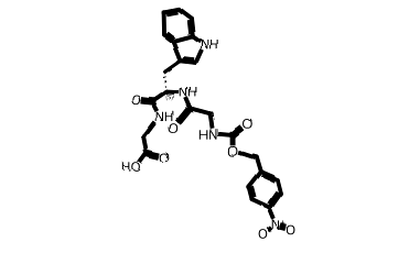 O=C(O)CNC(=O)[C@H](Cc1c[nH]c2ccccc12)NC(=O)CNC(=O)OCc1ccc([N+](=O)[O-])cc1